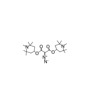 CN1C(C)(C)CC(OC(=O)C(=[N+]=[N-])C(=O)OC2CC(C)(C)N(C)C(C)(C)C2)CC1(C)C